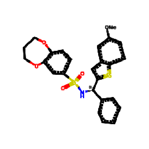 COc1ccc2sc([C@@H](NS(=O)(=O)c3ccc4c(c3)OCCCO4)c3ccccc3)cc2c1